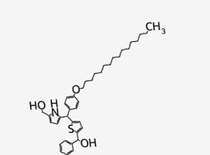 CCCCCCCCCCCCCCCCOc1ccc(C(c2ccc(CO)[nH]2)c2ccc(C(O)c3ccccc3)s2)cc1